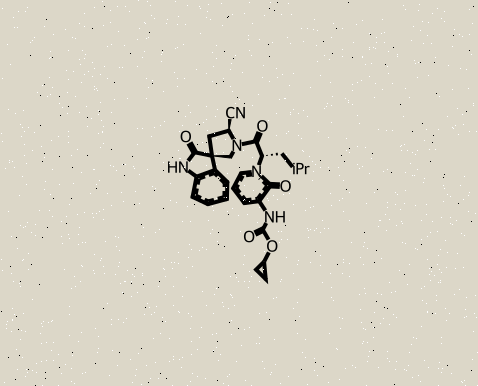 CC(C)C[C@@H](C(=O)N1C[C@]2(C[C@H]1C#N)C(=O)Nc1ccccc12)n1cccc(NC(=O)OC2CC2)c1=O